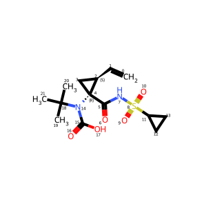 C=C[C@@H]1C[C@@]1(C(=O)NS(=O)(=O)C1CC1)N(C(=O)O)C(C)(C)C